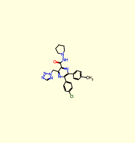 Cc1ccc(-c2nc(C(=O)NN3CCCCC3)c(Cn3ncnn3)nc2-c2ccc(Cl)cc2)cc1